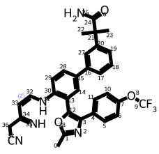 Cc1nc(-c2ccc(OC(F)(F)F)cc2)c(-c2cc(-c3cccc(C(C)(C)C(N)=O)c3)ccc2N/C=C\C(=N)CC#N)o1